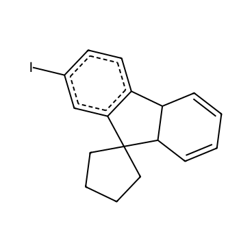 Ic1ccc2c(c1)C1(CCCC1)C1C=CC=CC21